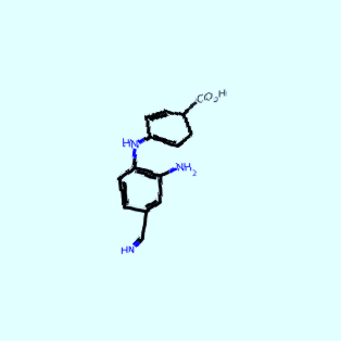 N=Cc1ccc(NC2=CCC(C(=O)O)C=C2)c(N)c1